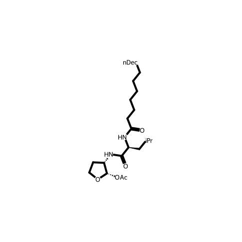 CCCCCCCCCCCCCCCCC(=O)N[C@@H](CC(C)C)C(=O)N[C@H]1CCO[C@H]1OC(C)=O